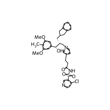 COc1cc([C@@H](O)[C@H](CC2Cc3ccccc3C2)Cn2ccc(CCC(=O)NS(=O)(=O)c3cnccc3Cl)c2)cc(OC)c1C